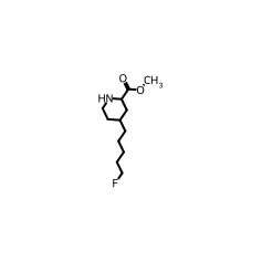 COC(=O)C1CC(CCCCCF)CCN1